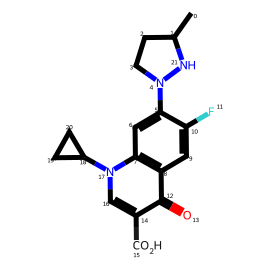 CC1CCN(c2cc3c(cc2F)c(=O)c(C(=O)O)cn3C2CC2)N1